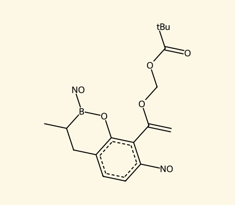 C=C(OCOC(=O)C(C)(C)C)c1c(N=O)ccc2c1OB(N=O)C(C)C2